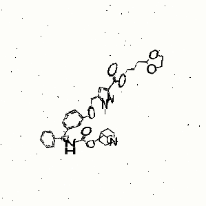 Cn1nc(C(=O)OCCCC2OCCO2)cc1COc1cccc([C@@H](NC(=O)OC2CN3CCC2CC3)c2ccccc2)c1